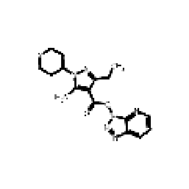 CCc1nn(C2CCSCC2)c(N)c1C(=O)On1nnc2cccnc21